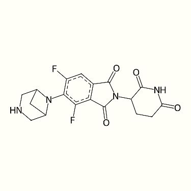 O=C1CCC(N2C(=O)c3cc(F)c(N4C5CNCC4C5)c(F)c3C2=O)C(=O)N1